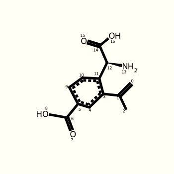 C=C(C)c1cc(C(=O)O)ccc1[C@H](N)C(=O)O